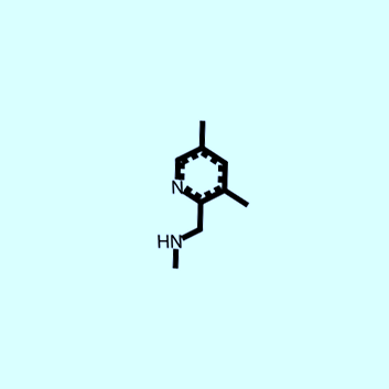 CNCc1ncc(C)cc1C